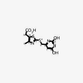 Cc1nc(SCc2cc(O)nc(O)n2)sc1CC(=O)O